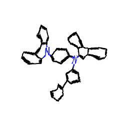 c1ccc(-c2cccc(N(c3ccc(-n4c5ccccc5c5ccccc54)cc3)c3cc4ccccc4c4ccccc34)c2)cc1